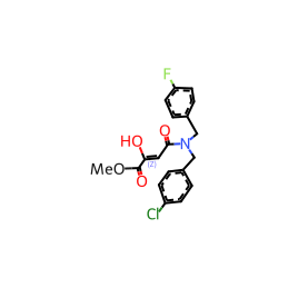 COC(=O)/C(O)=C/C(=O)N(Cc1ccc(F)cc1)Cc1ccc(Cl)cc1